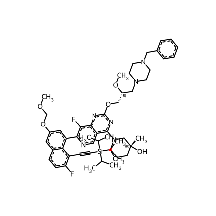 COCOc1cc(-c2ncc3c(N4CCC[C@@](C)(O)C4)nc(OC[C@@H](CN4CCN(Cc5ccccc5)CC4)OC)nc3c2F)c2c(C#C[Si](C(C)C)(C(C)C)C(C)C)c(F)ccc2c1